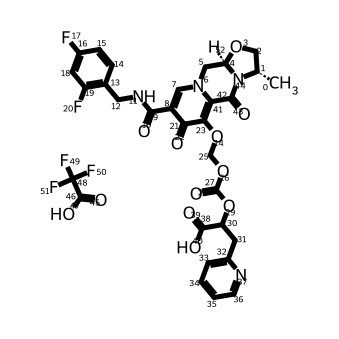 C[C@H]1CO[C@@H]2Cn3cc(C(=O)NCc4ccc(F)cc4F)c(=O)c(OCOC(=O)OC(Cc4ccccn4)C(=O)O)c3C(=O)N12.O=C(O)C(F)(F)F